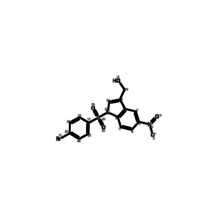 O=[N+]([O-])c1ccc2c(c1)c(CO)cn2S(=O)(=O)c1ccc(Br)cc1